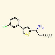 CCOC(=O)CC(N)c1cc(-c2cccc(Cl)c2)cs1